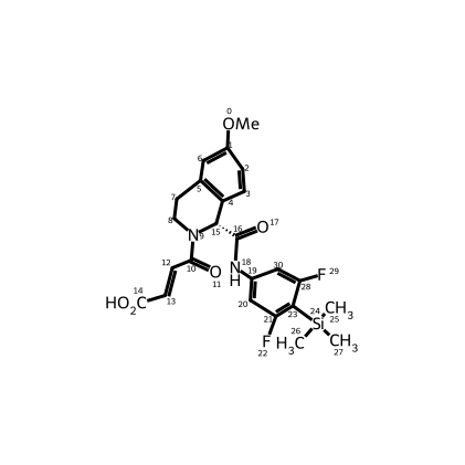 COc1ccc2c(c1)CCN(C(=O)/C=C/C(=O)O)[C@H]2C(=O)Nc1cc(F)c([Si](C)(C)C)c(F)c1